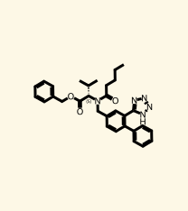 CCCCC(=O)N(Cc1ccc(-c2ccccc2)c(-c2nnn[nH]2)c1)[C@H](C(=O)OCc1ccccc1)C(C)C